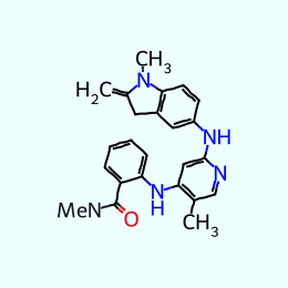 C=C1Cc2cc(Nc3cc(Nc4ccccc4C(=O)NC)c(C)cn3)ccc2N1C